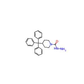 NNC(=O)N1CCC(C(c2ccccc2)(c2ccccc2)c2ccccc2)CC1